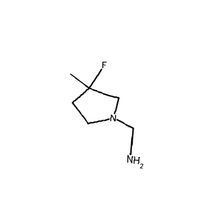 CC1(F)CCN(CN)C1